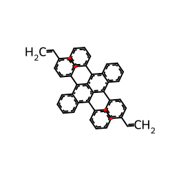 C=Cc1ccc(-c2c3ccccc3c(-c3ccccc3)c3c(-c4ccc(C=C)cc4)c4ccccc4c(-c4ccccc4)c23)cc1